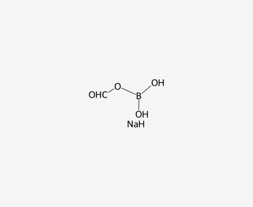 O=COB(O)O.[NaH]